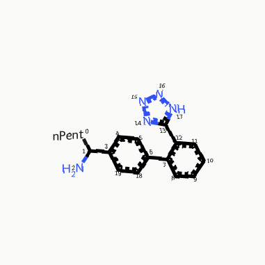 CCCCCC(N)c1ccc(-c2ccccc2-c2nnn[nH]2)cc1